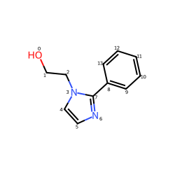 OCCn1ccnc1-c1ccccc1